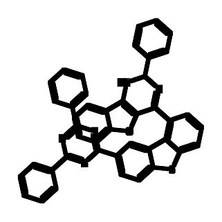 c1ccc(-c2nc(-c3ccccc3)nc(-c3ccc4sc5cccc(C6=NC(c7ccccc7)Nc7c6oc6ccccc76)c5c4c3)n2)cc1